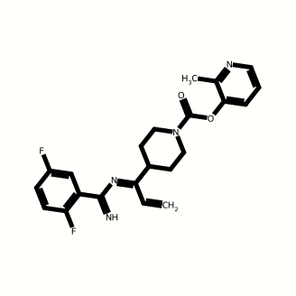 C=C/C(=N\C(=N)c1cc(F)ccc1F)C1CCN(C(=O)Oc2cccnc2C)CC1